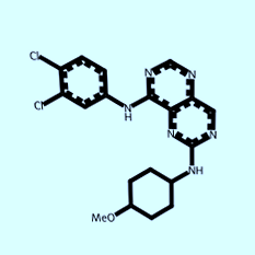 COC1CCC(Nc2ncc3ncnc(Nc4ccc(Cl)c(Cl)c4)c3n2)CC1